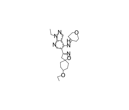 CCOC1CCC2(CC1)CC(c1cnc3c(cnn3CC)c1NC1CCOCC1)=NO2